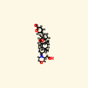 C[C@]12CC[C@H](N3CCOCC3CO)C[C@H]1CC[C@@H]1[C@@H]2CC[C@]2(C)[C@@H](c3ccc(=O)oc3)CC[C@]12O